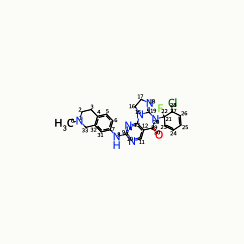 CN1CCc2ccc(Nc3ncc4c(n3)N3CCN=C3N(C3(F)C=CC=CC3Cl)C4=O)cc2C1